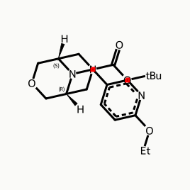 CCOc1ccc(CN2[C@@H]3COC[C@H]2CN(C(=O)OC(C)(C)C)C3)cn1